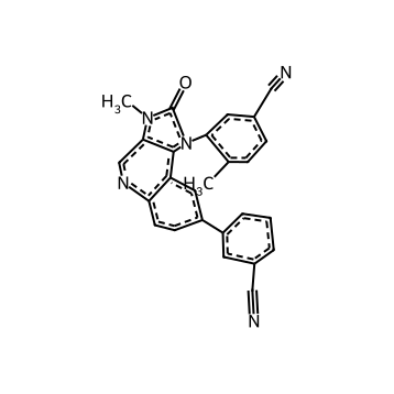 Cc1ccc(C#N)cc1-n1c(=O)n(C)c2cnc3ccc(-c4cccc(C#N)c4)cc3c21